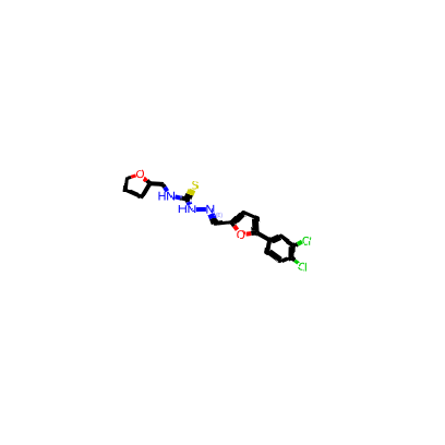 S=C(NCC1CCCO1)N/N=C/c1ccc(-c2ccc(Cl)c(Cl)c2)o1